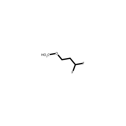 O=C(O)OCCC(F)F